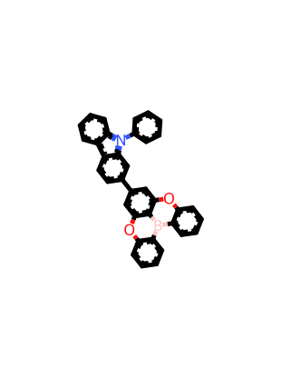 c1ccc(-n2c3ccccc3c3ccc(-c4cc5c6c(c4)Oc4ccccc4B6c4ccccc4O5)cc32)cc1